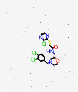 O=C(CSc1nccnc1Cl)NC[C@H]1CN(Cc2ccc(Cl)c(Cl)c2)CCO1